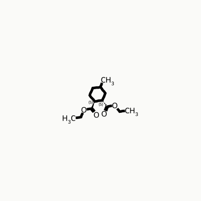 CCOC(=O)[C@H]1CCC(C)C[C@@H]1C(=O)OCC